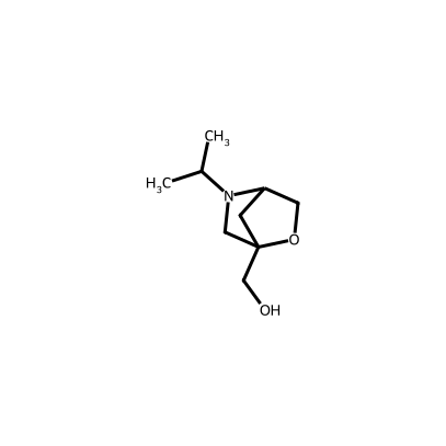 CC(C)N1CC2(CO)CC1CO2